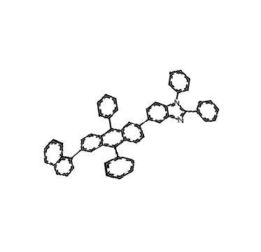 c1ccc(-c2c3ccc(-c4cccc5ccccc45)cc3c(-c3ccccc3)c3ccc(-c4ccc5c(c4)nc(-c4ccccc4)n5-c4ccccc4)cc23)cc1